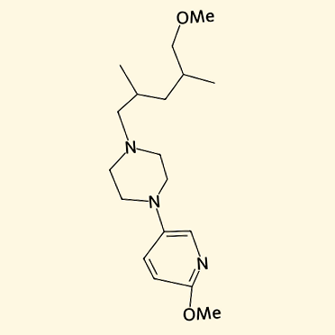 COCC(C)CC(C)CN1CCN(c2ccc(OC)nc2)CC1